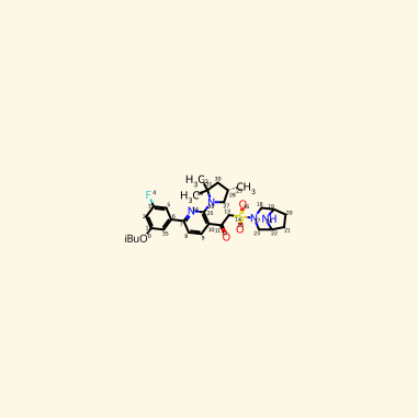 CC(C)COc1cc(F)cc(-c2ccc(C(=O)CS(=O)(=O)N3CC4CCC(C3)N4)c(N3C[C@@H](C)CC3(C)C)n2)c1